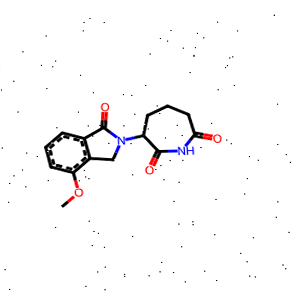 COc1cccc2c1CN(C1CCCC(=O)NC1=O)C2=O